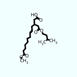 COC(=O)CCCCCC/C=C/CC(CC(=O)O)CC(=O)OCCC(C)C